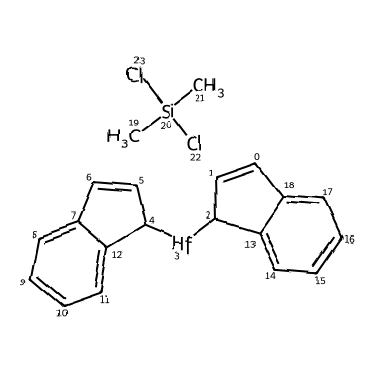 C1=C[CH]([Hf][CH]2C=Cc3ccccc32)c2ccccc21.C[Si](C)(Cl)Cl